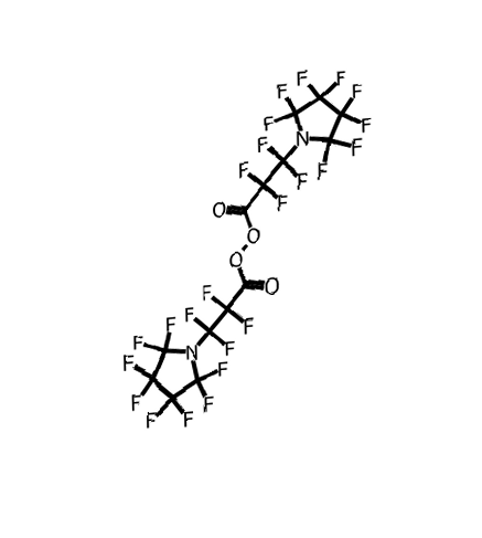 O=C(OOC(=O)C(F)(F)C(F)(F)N1C(F)(F)C(F)(F)C(F)(F)C1(F)F)C(F)(F)C(F)(F)N1C(F)(F)C(F)(F)C(F)(F)C1(F)F